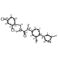 Cc1cn(-c2ccc(N(C)C(=O)N(C)Cc3ccc(Cl)cc3Cl)cc2F)cn1